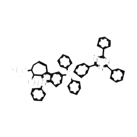 CC1CC=Cc2c(n(-c3ccccc3)c3ccc([Si](c4ccccc4)(c4ccccc4)c4ccc(-c5nc(-c6ccccc6)nc(-c6ccccc6)n5)cc4)cc23)C1C